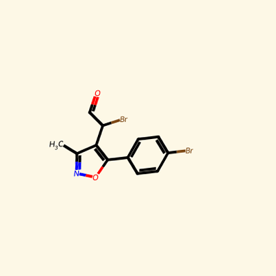 Cc1noc(-c2ccc(Br)cc2)c1C(Br)C=O